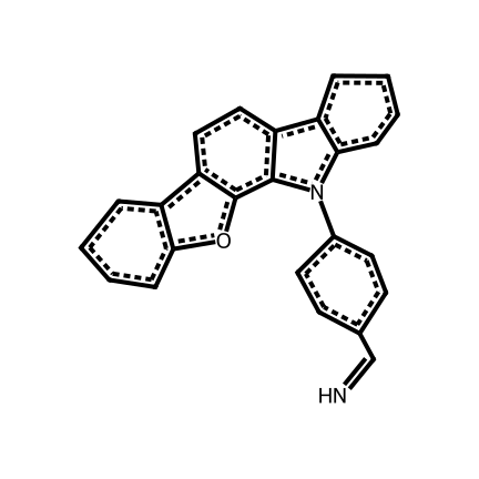 N=Cc1ccc(-n2c3ccccc3c3ccc4c5ccccc5oc4c32)cc1